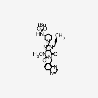 CC#CCn1c(N2CCC[C@@H](NC(=O)OC(C)(C)C)C2)nc2c1c(=O)n(Cc1cccc3nccnc13)c(=O)n2C